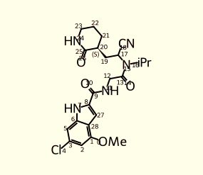 COc1cc(Cl)cc2[nH]c(C(=O)NCC(=O)N(C(C)C)C(C#N)C[C@@H]3CCCNC3=O)cc12